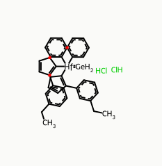 CCc1cccc(C2=[C]([Hf](=[GeH2])([C]3=C(c4cccc(CC)c4)C=CC3)([c]3ccccc3)[c]3ccccc3)CC=C2)c1.Cl.Cl